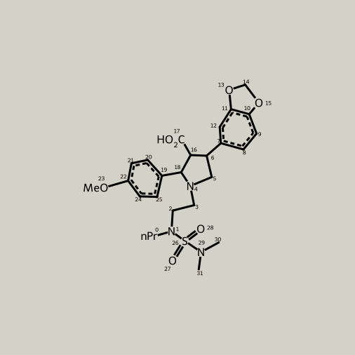 CCCN(CCN1CC(c2ccc3c(c2)OCO3)C(C(=O)O)C1c1ccc(OC)cc1)S(=O)(=O)N(C)C